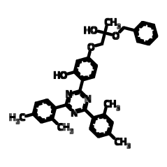 Cc1ccc(-c2nc(-c3ccc(C)cc3C)nc(-c3ccc(OCC(C)(O)OCc4ccccc4)cc3O)n2)c(C)c1